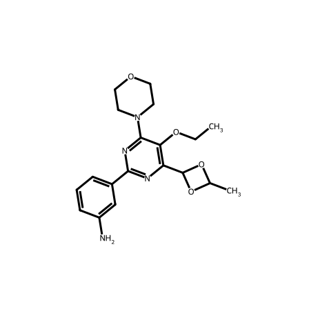 CCOc1c(C2OC(C)O2)nc(-c2cccc(N)c2)nc1N1CCOCC1